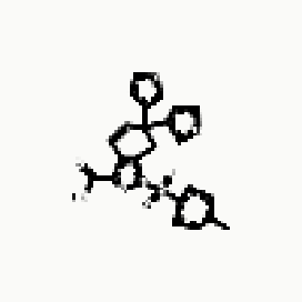 Cc1ccc(S(=O)(=O)n2nc(C(=O)O)c3c2CC(c2ccsc2)(c2ccsc2)C=C3)cc1